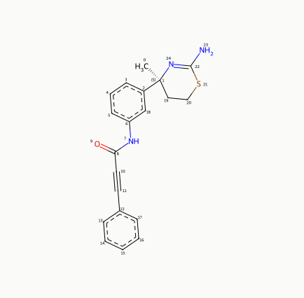 C[C@@]1(c2cccc(NC(=O)C#Cc3ccccc3)c2)CCSC(N)=N1